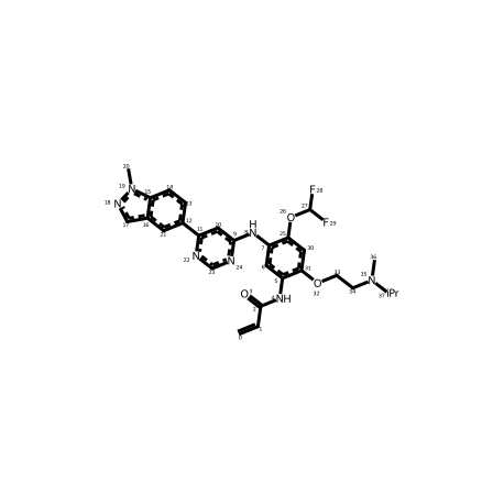 C=CC(=O)Nc1cc(Nc2cc(-c3ccc4c(cnn4C)c3)ncn2)c(OC(F)F)cc1OCCN(C)C(C)C